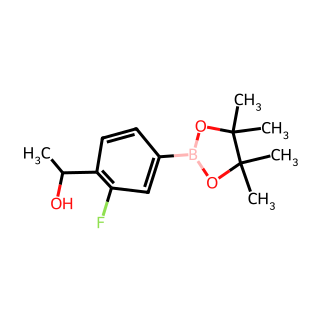 CC(O)c1ccc(B2OC(C)(C)C(C)(C)O2)cc1F